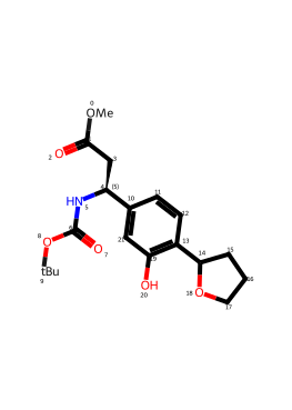 COC(=O)C[C@H](NC(=O)OC(C)(C)C)c1ccc(C2CCCO2)c(O)c1